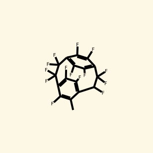 Cc1c(F)c2c(F)c(F)c1C(F)C(F)(F)c1c(F)c(F)c(c(F)c1F)C(F)(F)C2(F)F